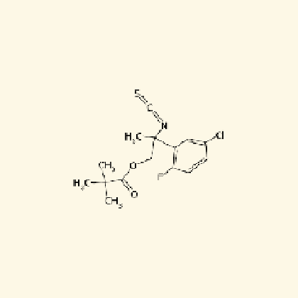 CC(C)(C)C(=O)OCC(C)(N=C=S)c1cc(Cl)ccc1F